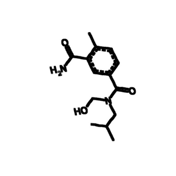 Cc1ccc(C(=O)N(CO)CC(C)C)cc1C(N)=O